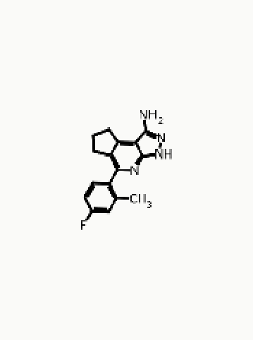 Cc1cc(F)ccc1-c1nc2[nH]nc(N)c2c2c1CCC2